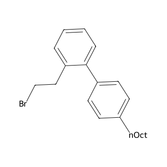 CCCCCCCCc1ccc(-c2ccccc2CCBr)cc1